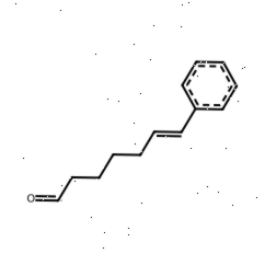 O=[C]CCCCC=Cc1ccccc1